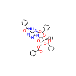 C#C[C@@]1(OC(=O)c2ccccc2)[C@@H](COC(=O)c2ccccc2)O[C@@H](n2cnc3c(NC(=O)c4ccccc4)ncnc32)[C@@H]1OC(=O)c1ccccc1